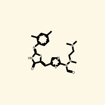 Cc1ccc(/N=C2/NC(=O)/C(=C/c3cnc(N(C=O)N(C)CCN(C)C)s3)S2)c(C)c1